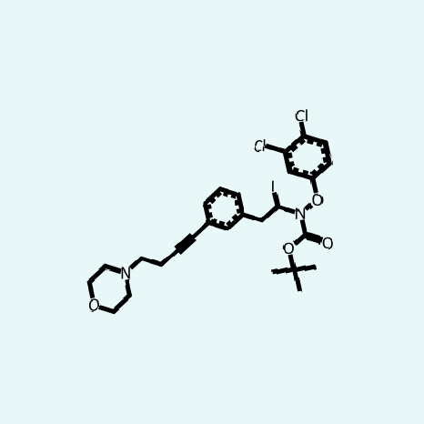 CC(C)(C)OC(=O)N(Oc1ccc(Cl)c(Cl)c1)C(I)Cc1cccc(C#CCCN2CCOCC2)c1